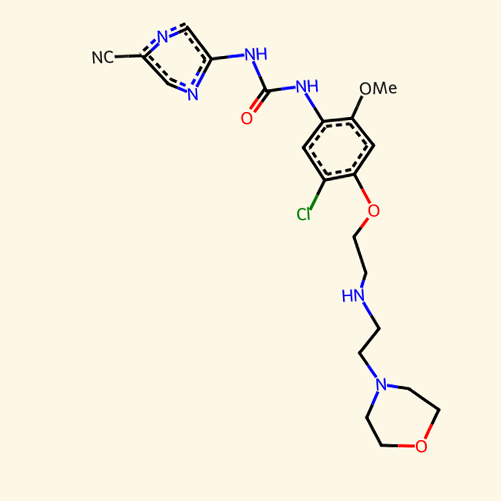 COc1cc(OCCNCCN2CCOCC2)c(Cl)cc1NC(=O)Nc1cnc(C#N)cn1